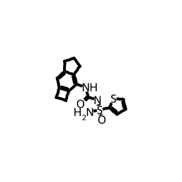 NS(=O)(=NC(=O)Nc1c2c(cc3c1CC3)CCC2)c1cccs1